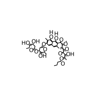 CCCC(=O)O[C@H](C)[C@H](O)C(=O)[C@@H](OC)[C@@H]1Cc2cc3cc(O[C@H]4CC(O[C@H]5CC(O)[C@H](O)C(C)O5)[C@H](O)C(C)O4)c(C)c(O)c3c(O)c2C(=O)[C@H]1OC